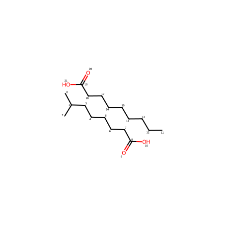 CC(C)CCCCCC(=O)O.CCCCCCCCC(=O)O